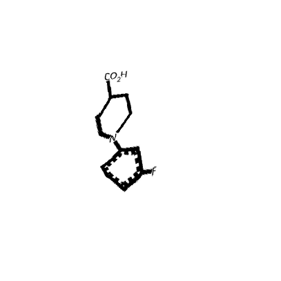 O=C(O)C1CCN(c2cccc(F)c2)CC1